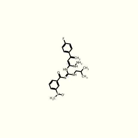 C=C(/C=C(\NN)N/C(=N\C(=O)c1cccc([S+](C)[O-])c1)NCC(C)C)c1ccc(F)cc1